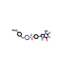 CCCn1c(=O)n(C)c(=O)c2[nH]c(-c3ccc(S(=O)(=O)N4CCN(Cc5ccc(OC)cc5)CC4)cc3)cc21